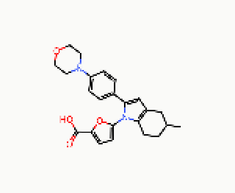 CC1CCc2c(cc(-c3ccc(N4CCOCC4)cc3)n2-c2ccc(C(=O)O)o2)C1